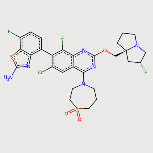 Nc1nc2c(-c3c(Cl)cc4c(N5CCCS(=O)(=O)CC5)nc(OC[C@@]56CCCN5C[C@H](F)C6)nc4c3F)ccc(F)c2s1